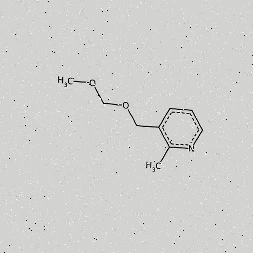 COCOCc1cccnc1C